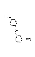 Cc1ccc(OCc2cccc(C#N)c2)cc1